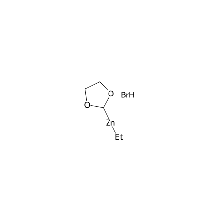 Br.C[CH2][Zn][CH]1OCCO1